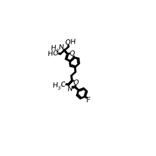 Cc1nc(-c2ccc(F)cc2)oc1CCc1ccc2oc(C(N)(CO)CO)cc2c1